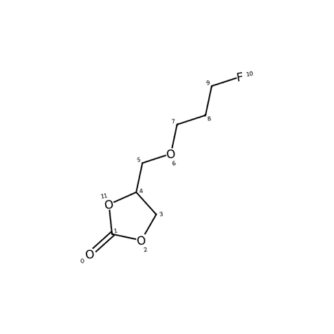 O=C1OCC(COCCCF)O1